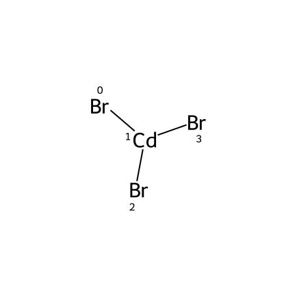 [Br][Cd]([Br])[Br]